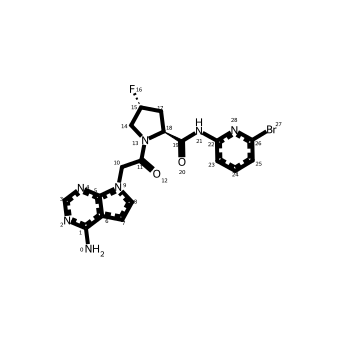 Nc1ncnc2c1ccn2CC(=O)N1C[C@H](F)C[C@H]1C(=O)Nc1cccc(Br)n1